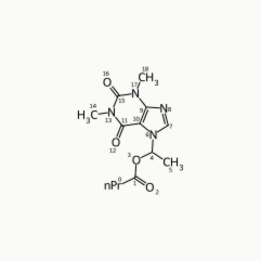 CCCC(=O)OC(C)n1cnc2c1c(=O)n(C)c(=O)n2C